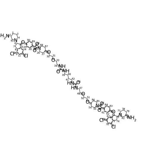 N[C@@H]1CCCN([C@H]2Cc3c(Cl)cc(Cl)cc3[C@@H]2Oc2ccc(S(=O)(=O)N3CCC(OCCOCCNC(=O)NCCCCNC(=O)NCCOCCOC4CCN(S(=O)(=O)c5ccc(O[C@H]6c7cc(Cl)cc(Cl)c7C[C@@H]6N6CCC[C@@H](N)C6)cc5)CC4)CC3)cc2)C1